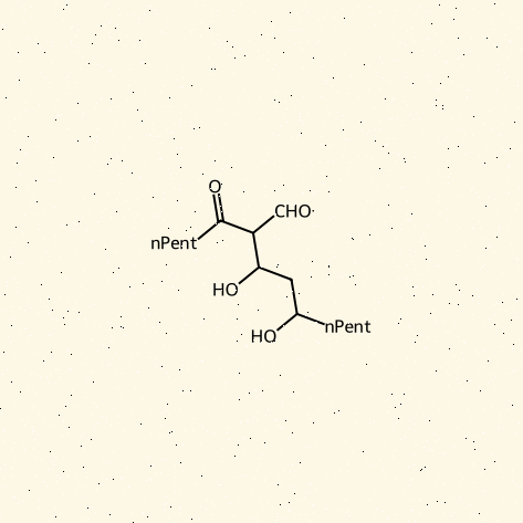 CCCCCC(=O)C([C]=O)C(O)CC(O)CCCCC